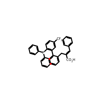 O=C(O)/C(=C/c1ccccc1)Cc1ccccc1-c1cc(C(F)(F)F)ccc1P(c1ccccc1)c1ccccc1